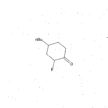 CCCCC1CCC(=O)C(F)C1